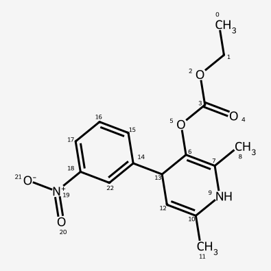 CCOC(=O)OC1=C(C)NC(C)=CC1c1cccc([N+](=O)[O-])c1